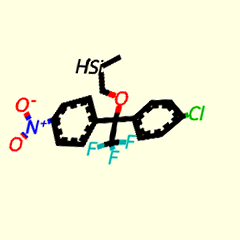 C[SiH](C)COC(c1ccc(Cl)cc1)(c1ccc([N+](=O)[O-])cc1)C(F)(F)F